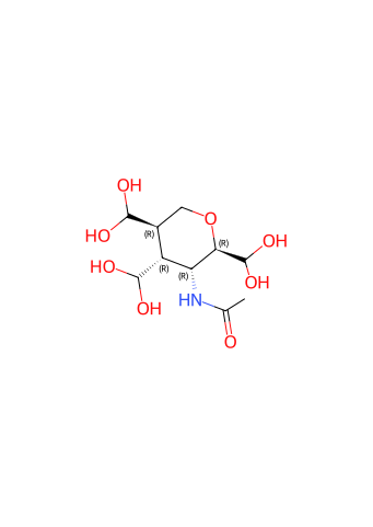 CC(=O)N[C@@H]1[C@H](C(O)O)[C@@H](C(O)O)CO[C@H]1C(O)O